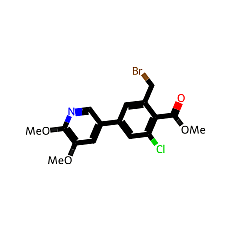 COC(=O)c1c(Cl)cc(-c2cnc(OC)c(OC)c2)cc1CBr